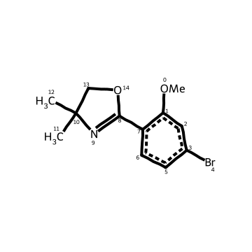 COc1cc(Br)ccc1C1=NC(C)(C)CO1